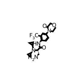 NC[C@@H](C(=O)Nc1ccc(N2CCOCC2=O)cc1C(F)(F)F)N(C1CC1)C1CC1